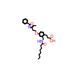 CCCCCCCC(=O)NCc1cc(OCCc2nc(-c3ccccc3)oc2C)ccc1CCC(=O)O